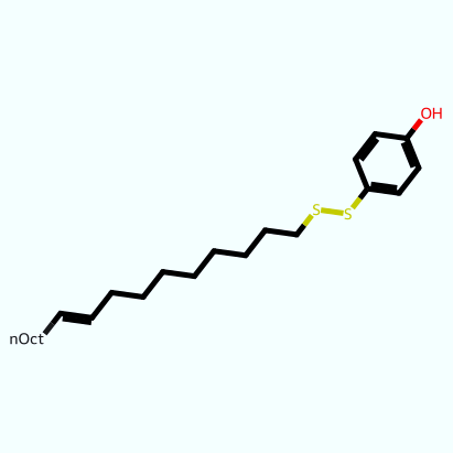 CCCCCCCC/C=C/CCCCCCCCSSc1ccc(O)cc1